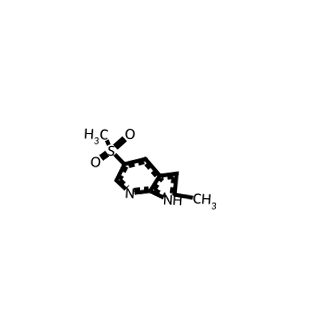 Cc1cc2cc(S(C)(=O)=O)cnc2[nH]1